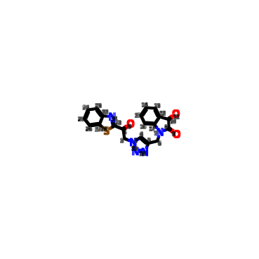 O=C(Cn1cc(CN2C(=O)C(=O)c3ccccc32)nn1)c1nc2ccccc2s1